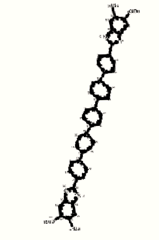 CC(C)COc1cc2oc(-c3ccc(-c4ccc(-c5ccc(-c6ccc(-c7ccc(-c8nc9cc(C(C)(C)C)c(OCC(C)C)cc9o8)cc7)cc6)cc5)cc4)cc3)nc2cc1C(C)(C)C